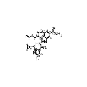 C=CCC[C@H]1COc2cc(C(N)=O)cc3nc(NC(=O)c4cc(C)nn4CC4CC4)n1c23